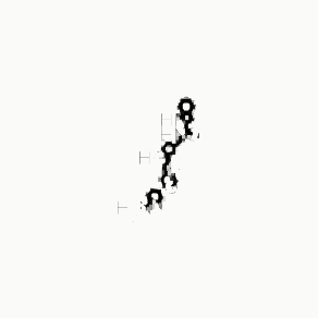 C[C@H]1CO[C@@H](c2ccc(N)nc2)CN1CC[C@@]1(O)CCC(CNC(=O)c2cc3ccccc3[nH]2)C1